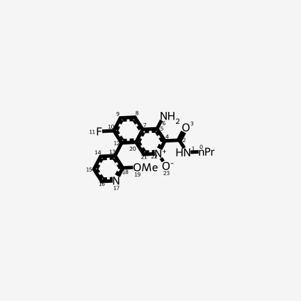 CCCNC(=O)c1c(N)c2ccc(F)c(-c3cccnc3OC)c2c[n+]1[O-]